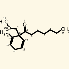 CCCCCCC(=O)C1(COC)C=CCC=C1C